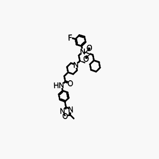 Cc1nc(-c2ccc(NC(=O)CC3CCN([C@H](C)CN(c4cccc(F)c4)S(=O)(=O)CC4CCCCC4)CC3)cc2)no1